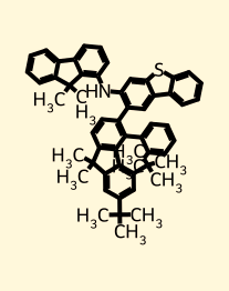 Cc1ccccc1-c1c(-c2cc3c(cc2Nc2cccc4c2C(C)(C)c2ccccc2-4)sc2ccccc23)ccc2c1-c1c(C(C)(C)C)cc(C(C)(C)C)cc1C2(C)C